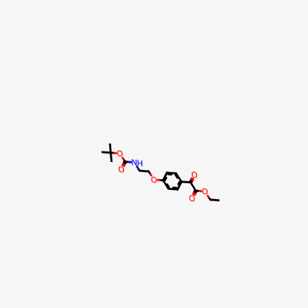 CCOC(=O)C(=O)c1ccc(OCCNC(=O)OC(C)(C)C)cc1